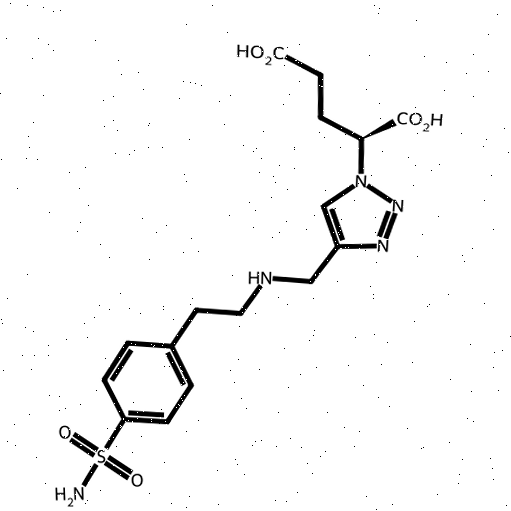 NS(=O)(=O)c1ccc(CCNCc2cn([C@@H](CCC(=O)O)C(=O)O)nn2)cc1